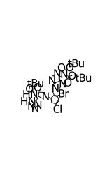 CC(C)(C)OC(=O)N[C@]1(c2nnn[nH]2)CCN(c2cc(Cl)cc(Br)c2Cn2cnc3c(N(C(=O)OC(C)(C)C)C(=O)OC(C)(C)C)ncnc32)C1